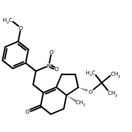 COc1cccc(C(CC2=C3CC[C@H](OC(C)(C)C)[C@@]3(C)CCC2=O)[N+](=O)[O-])c1